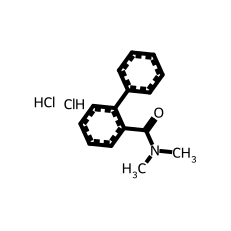 CN(C)C(=O)c1ccccc1-c1ccccc1.Cl.Cl